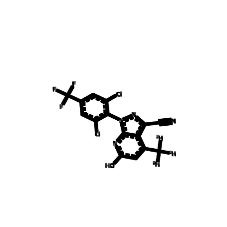 [2H]C([2H])([2H])c1cc(O)nc2c1c(C#N)nn2-c1c(Cl)cc(C(F)(F)F)cc1Cl